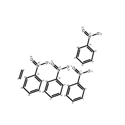 C=C.O=[N+]([O-])c1ccccc1.O=[N+]([O-])c1ccccc1.O=[N+]([O-])c1ccccc1.O=[N+]([O-])c1ccccc1